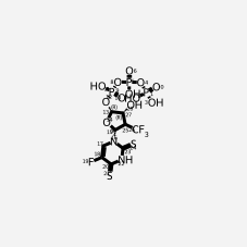 O=P(O)(O)OP(=O)(O)OP(=O)(O)O[C@H]1O[C@@H](n2cc(F)c(=S)[nH]c2=S)C(C(F)(F)F)[C@H]1O